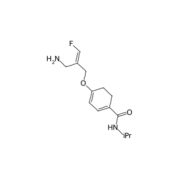 CC(C)NC(=O)C1=CC=C(OC/C(=C/F)CN)CC1